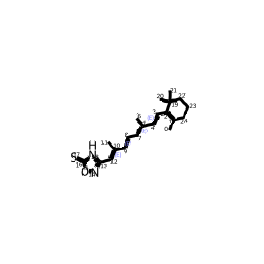 CC1=C(/C=C/C(C)=C/C=C/C(C)=C/c2noc(=S)[nH]2)C(C)(C)CCC1